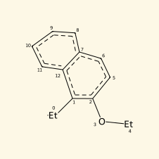 C[CH]c1c(OCC)ccc2ccccc12